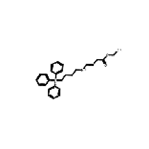 CCOC(=O)CCCNCCCC[PH](c1ccccc1)(c1ccccc1)c1ccccc1